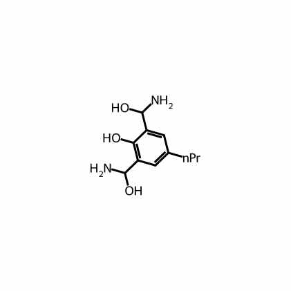 CCCc1cc(C(N)O)c(O)c(C(N)O)c1